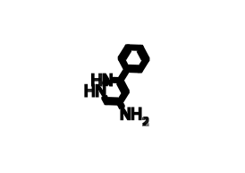 NC1=CNNC(c2ccccc2)=C1